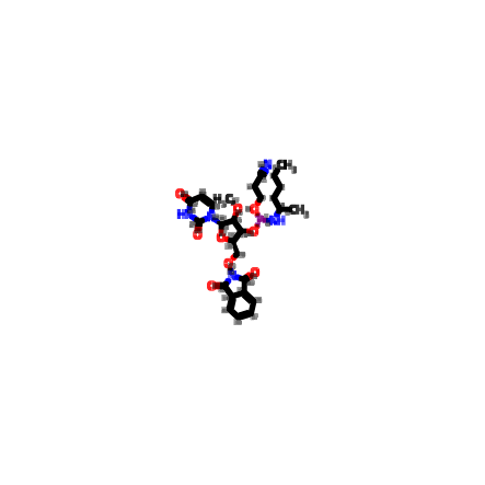 CCCCC(C)NP(OCCC#N)OC1C(OC)[C@H](n2ccc(=O)[nH]c2=O)O[C@@H]1CON1C(=O)c2ccccc2C1=O